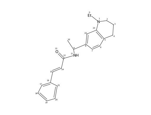 CCN1CCCc2ccc(C(C)NC(=O)C=Cc3ccccc3)cc21